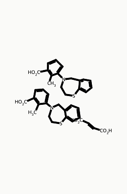 Cc1c(C(=O)O)cccc1N1CCSc2ccccc2C1.Cc1c(C(=O)O)cccc1N1CCSc2ccccc2C1.O=C(O)/C=C/C(=O)O